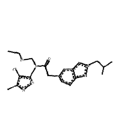 CCOCN(C(=O)Cc1ccc2nn(CC(C)C)cc2c1)c1snc(C)c1Cl